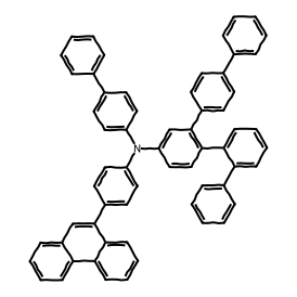 c1ccc(-c2ccc(-c3cc(N(c4ccc(-c5ccccc5)cc4)c4ccc(-c5cc6ccccc6c6ccccc56)cc4)ccc3-c3ccccc3-c3ccccc3)cc2)cc1